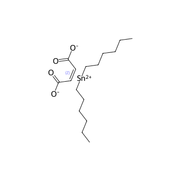 CCCCC[CH2][Sn+2][CH2]CCCCC.O=C([O-])/C=C\C(=O)[O-]